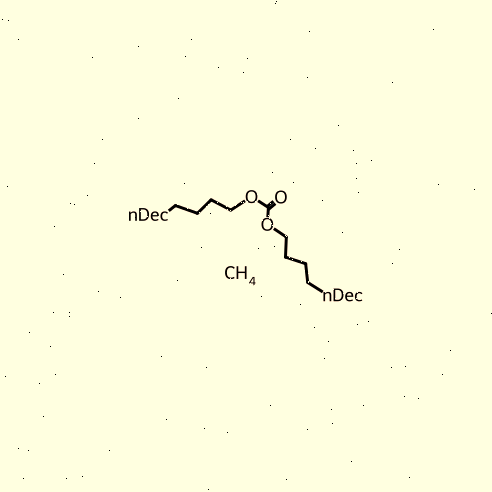 C.CCCCCCCCCCCCCCOC(=O)OCCCCCCCCCCCCCC